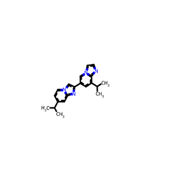 CC(C)c1ccn2cc(-c3cc(C(C)C)c4nccn4c3)nc2c1